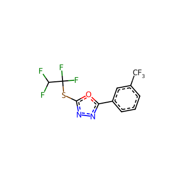 FC(F)C(F)(F)Sc1nnc(-c2cccc(C(F)(F)F)c2)o1